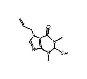 C=CCn1cnc2c1C(=O)N(C)C(O)N2C